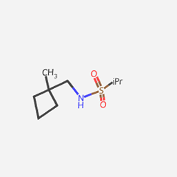 CC(C)S(=O)(=O)NCC1(C)CCC1